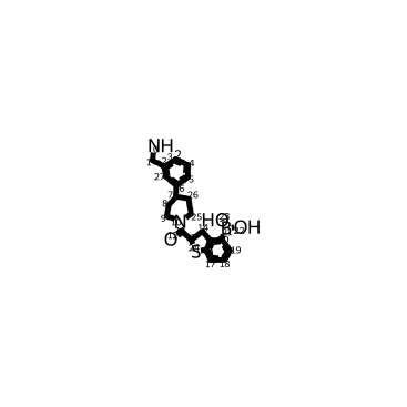 NCc1cccc(C2CCN(C(=O)C3Cc4c(cccc4B(O)O)S3)CC2)c1